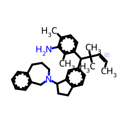 C/C=C\C(C)(C)C(c1ccc2c(c1)C(N1CCCc3ccccc3C1)CC2)c1ccc(C)c(N)c1C